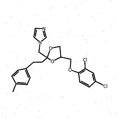 Cc1ccc(CCC2(Cn3ccnc3)OCC(COc3ccc(Cl)cc3Cl)O2)cc1